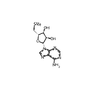 [CH2]SC[C@H]1O[C@@H](n2cnc3c(N)ncnc32)[C@H](O)[C@@H]1O